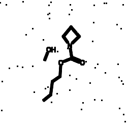 CCCCOC(=O)N1CCC1.CO